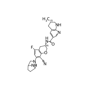 C[C@@H]1CNc2ncc(C(=O)N[C@H]3COc4c(C#N)c(N5CC6CCC(C5)N6)cc(F)c4C3)cc2C1